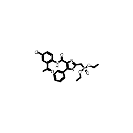 CCOP(=O)(Cc1nc(C(=O)Nc2ccc(Cl)cc2C(C)=O)c(-c2ccccc2)s1)OCC